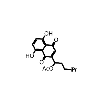 CC(=O)OC(CCC(C)C)C1=CC(=O)c2c(O)ccc(O)c2C1=O